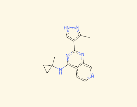 Cc1n[nH]cc1-c1nc(NC2(C)CC2)c2ccncc2n1